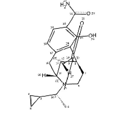 C[C@H](C1CC1)N1CC[C@]23CC(=O)CC[C@H]2[C@H]1Cc1ccc(C(N)=O)c(O)c13